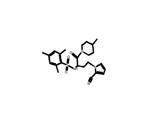 Cc1cc(C)c(S(=O)(=O)NC(CCn2cccc2C#N)C(=O)N2CCC(C)CC2)c(C)c1